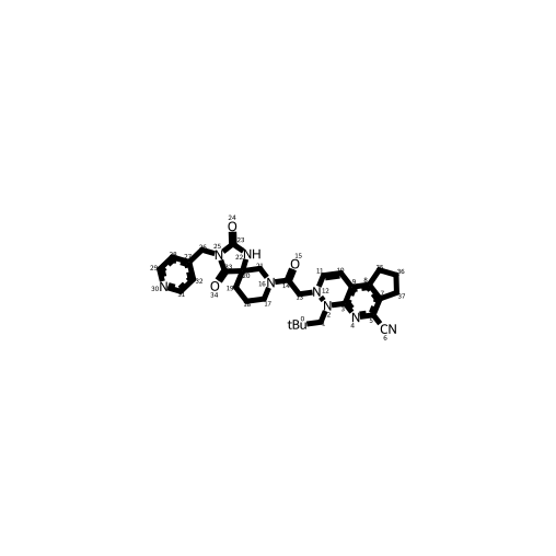 CC(C)(C)CN1c2nc(C#N)c3c(c2C=CN1CC(=O)N1CCCC2(C1)NC(=O)N(Cc1ccncc1)C2=O)CCC3